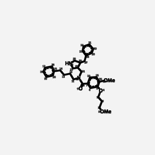 COCCCOc1cc(C(=O)N(CCCCc2ccccc2)CC2CNCC2Cc2ccccc2)ccc1OC